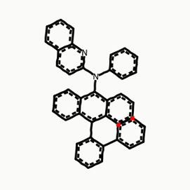 c1ccc(-c2ccccc2-c2c3ccccc3c(N(c3ccccc3)c3ccc4ccccc4n3)c3ccccc23)cc1